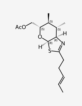 CC=CCCC1=N[C@@H]2[C@@H](C)[C@H](C)[C@@H](COC(C)=O)O[C@@H]2S1